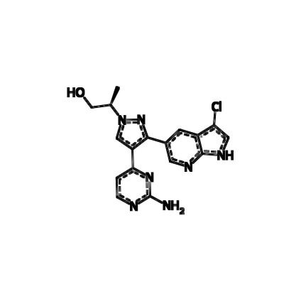 C[C@H](CO)n1cc(-c2ccnc(N)n2)c(-c2cnc3[nH]cc(Cl)c3c2)n1